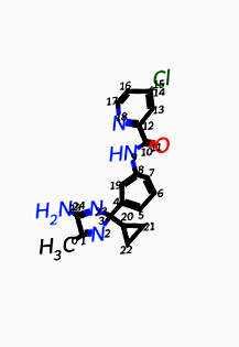 CC1=NC(c2cccc(NC(=O)c3cc(Cl)ccn3)c2)(C2CC2)N=C1N